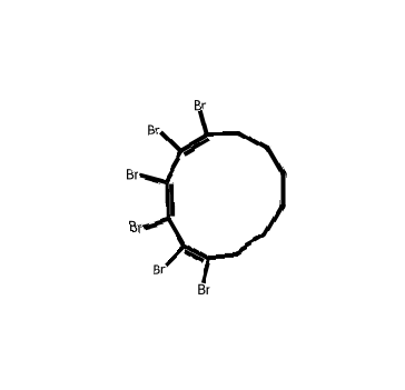 Br/C1=C(Br)/C(Br)=C(Br)\C(Br)=C(\Br)CCCCCC1